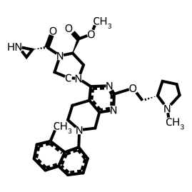 COC(=O)[C@H]1CN(c2nc(OC[C@@H]3CCCN3C)nc3c2CCN(c2cccc4cccc(C)c24)C3)CCN1C(=O)[C@@H]1CN1